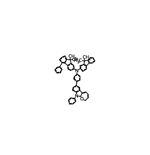 CC1(C)c2ccccc2-c2ccc(N(c3ccc(-c4ccc5c(c4)C4=CC=CCOC4N5c4ccccc4)cc3)c3ccc4c(c3)C(C)(C)c3cccc(-c5ccccc5)c3-4)cc21